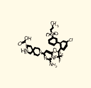 CCCS(=O)(=O)c1cccc(-c2cc(Cl)ccc2[C@@H](Oc2cc(N3CCC4(CC3)CN[C@H](C(=O)O)C4)nc(N)n2)C(F)(F)F)c1